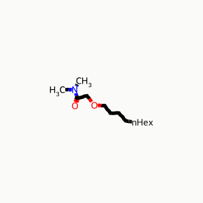 CCCCCCCCCCOCC(=O)N(C)C